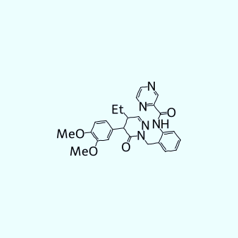 CCC1C=NN(Cc2ccccc2NC(=O)c2cnccn2)C(=O)C1c1ccc(OC)c(OC)c1